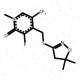 Cn1cc(C(F)(F)F)c(CSC2=NOC(C)(C)C2)c(F)c1=O